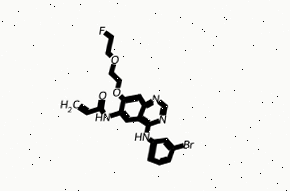 C=CC(=O)Nc1cc2c(Nc3cccc(Br)c3)ncnc2cc1OCCOCCF